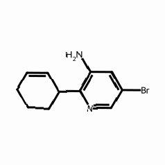 Nc1cc(Br)cnc1C1C=CCCC1